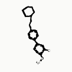 COc1ccc(-c2ccc(CCC3CC[CH]CC3)cc2)cc1Cl